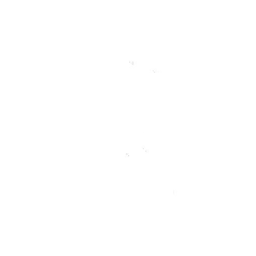 COc1cc(-c2ccc(OCc3nc(-c4ccc(Cl)cc4Cl)cn3Cc3ccc(C(=O)O)cc3)cc2)ccc1N